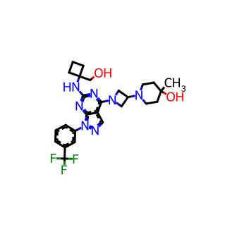 CC1(O)CCN(C2CN(c3nc(NC4(CO)CCC4)nc4c3cnn4-c3cccc(C(F)(F)F)c3)C2)CC1